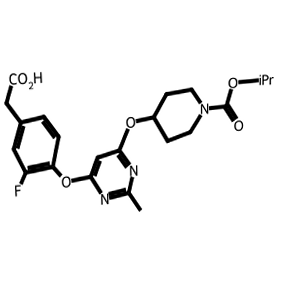 Cc1nc(Oc2ccc(CC(=O)O)cc2F)cc(OC2CCN(C(=O)OC(C)C)CC2)n1